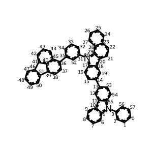 c1ccc(-n2c3ccccc3c3cc(-c4ccc5c(c4)c4ccc6ccccc6c4n5-c4cccc(-c5ccc6c7c(cccc57)-c5ccccc5-6)c4)ccc32)cc1